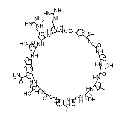 CCC1NC(=O)C/N=C(\SC)c2cc(cs2)CCNC(=O)[C@H](CCCNC(=N)N)NC(=O)[C@H](CCCNC(=N)N)NC(=O)[C@H](CC(=O)O)NC(=O)C(C(C)C)NC(=O)[C@H](CCC(N)=O)NC(=O)[C@H](CC(=O)O)NC(=O)CNC(=O)[C@H]([C@@H](C)CC)NC(=O)CNC(=O)[C@H](CO)NC(=O)[C@H](CC(C)C)NC(=O)C([C@@H](C)O)NC1=O